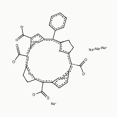 O=C([O-])c1c2nc(c(-c3ccccc3)c3cc(C(=O)[O-])c([nH]3)c(C(=O)[O-])c3nc(c(C(=O)[O-])c4ccc1[nH]4)CC3)CC2.[Na+].[Na+].[Na+].[Na+]